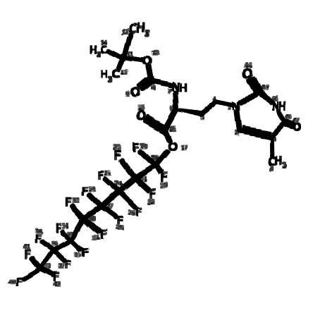 Cc1cn(CC[C@H](NC(=O)OC(C)(C)C)C(=O)OC(F)(F)C(F)(F)C(F)(F)C(F)(F)C(F)(F)C(F)(F)C(F)(F)C(F)(F)F)c(=O)[nH]c1=O